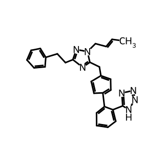 CC=CCn1nc(CCc2ccccc2)nc1Cc1ccc(-c2ccccc2-c2nnn[nH]2)cc1